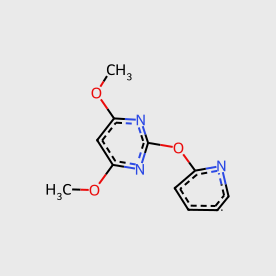 COc1cc(OC)nc(Oc2cc[c]cn2)n1